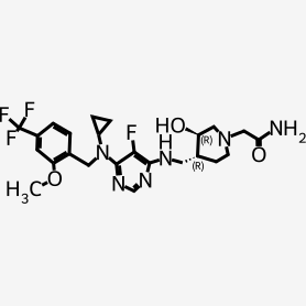 COc1cc(C(F)(F)F)ccc1CN(c1ncnc(NC[C@H]2CCN(CC(N)=O)C[C@@H]2O)c1F)C1CC1